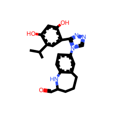 CC(C)c1cc(-c2nncn2-c2ccc3c(c2)CCCC(C=O)N3)c(O)cc1O